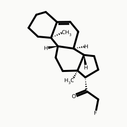 C[C@]12CC[C@H]3[C@@H](CC=C4CCCC[C@@]43C)[C@@H]1CC[C@@H]2C(=O)CF